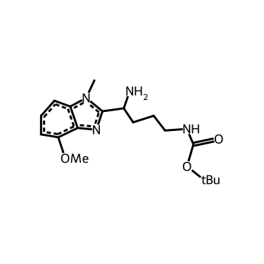 COc1cccc2c1nc(C(N)CCCNC(=O)OC(C)(C)C)n2C